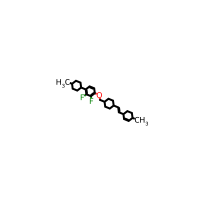 CC1C=CC(/C=C/C2CCC(COc3ccc(C4CCC(C)CC4)c(F)c3F)CC2)CC1